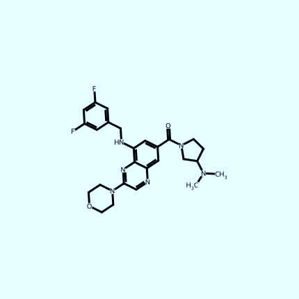 CN(C)C1CCN(C(=O)c2cc(NCc3cc(F)cc(F)c3)c3nc(N4CCOCC4)cnc3c2)C1